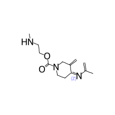 C=C(C)/N=C1/CCN(C(=O)OCCNC)CC1=C